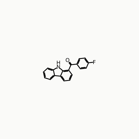 O=C(c1ccc(F)cc1)c1cccc2c1[nH]c1ccccc12